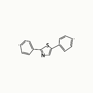 [c]1ccc(-c2cnc(-c3cc[c]cc3)s2)cc1